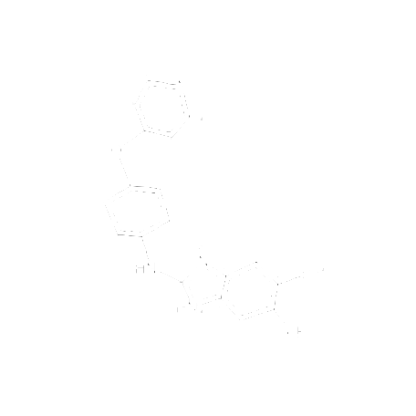 FC(F)(F)c1cc2[nH]c(Nc3ccc(Oc4ccncc4)cc3)nc2cc1Cl